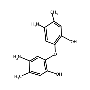 Cc1cc(O)c(Oc2cc(N)c(C)cc2O)cc1N